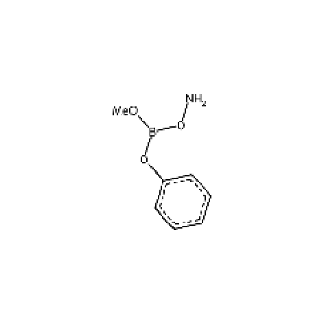 COB(ON)Oc1ccccc1